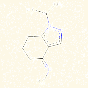 C/N=C1\CCCc2c1cnn2C(C)C